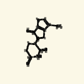 Cc1csc2c1CN(C1CCC(=O)NC1=O)C2=O